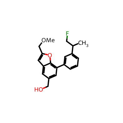 COCc1cc2cc(CO)cc(-c3cccc(C(C)CF)c3)c2o1